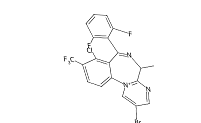 CC1N=C(c2c(F)cccc2F)c2c(ccc(C(F)(F)F)c2Cl)-[n+]2cc(Br)cnc21